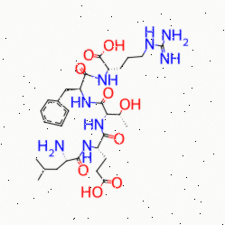 CC(C)C[C@H](N)C(=O)N[C@@H](CCC(=O)O)C(=O)N[C@H](C(=O)N[C@@H](Cc1ccccc1)C(=O)N[C@@H](CCCNC(=N)N)C(=O)O)[C@@H](C)O